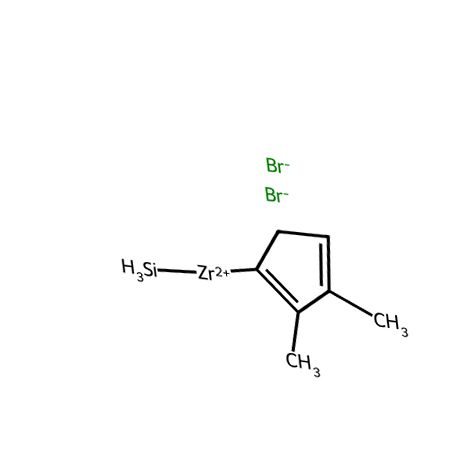 CC1=CC[C]([Zr+2][SiH3])=C1C.[Br-].[Br-]